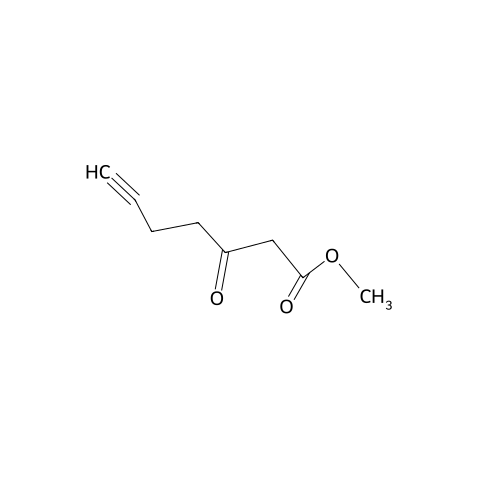 C#CCCC(=O)CC(=O)OC